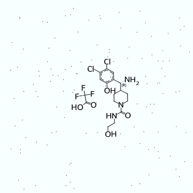 N[C@@H](c1cc(Cl)c(Cl)cc1O)C1CCN(C(=O)NCCO)CC1.O=C(O)C(F)(F)F